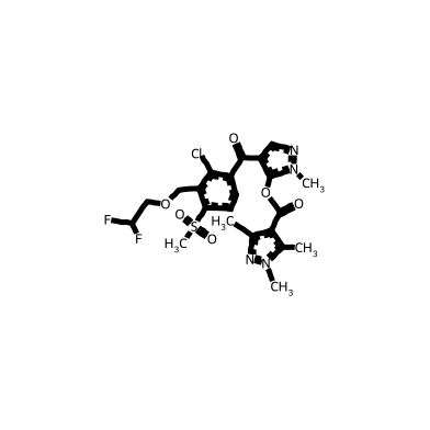 Cc1nn(C)c(C)c1C(=O)Oc1c(C(=O)c2ccc(S(C)(=O)=O)c(COCC(F)F)c2Cl)cnn1C